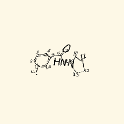 [CH2]c1cccc(C(=O)NN2CCCC2)c1